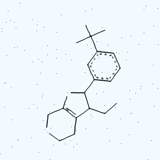 CCC1C2=C(CNCC2)SC1c1cccc(C(C)(C)F)c1